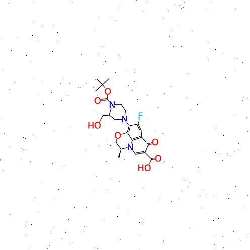 C[C@H]1COc2c(N3CCN(C(=O)OC(C)(C)C)[C@H](CO)C3)c(F)cc3c(=O)c(C(=O)O)cn1c23